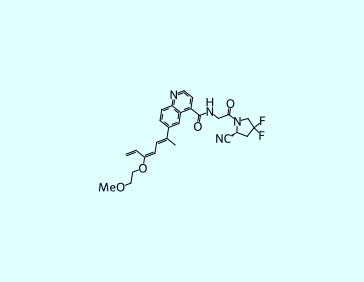 C=C/C(=C\C=C(/C)c1ccc2nccc(C(=O)NCC(=O)N3CC(F)(F)C[C@H]3C#N)c2c1)OCCOC